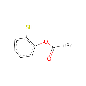 CCCC(=O)Oc1ccccc1S